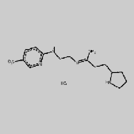 Cl.NC(CCC1CCCN1)=NCCNc1ccc([N+](=O)[O-])cn1